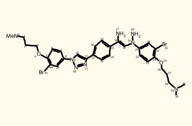 CNCCCOc1ccc(-n2cc(-c3ccc(/C(N)=C/N(N)c4ccc(OCCCN(C)C)c(Br)c4)cc3)nn2)cc1Br